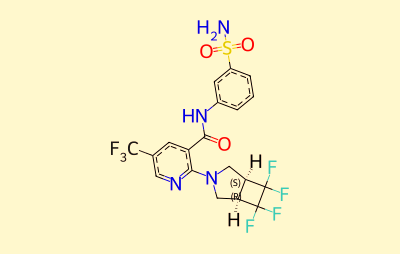 NS(=O)(=O)c1cccc(NC(=O)c2cc(C(F)(F)F)cnc2N2C[C@@H]3[C@H](C2)C(F)(F)C3(F)F)c1